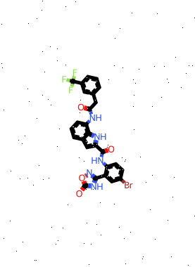 O=C(Cc1cccc(C(F)(F)F)c1)Nc1cccc2cc(C(=O)Nc3ccc(Br)cc3-c3noc(=O)[nH]3)[nH]c12